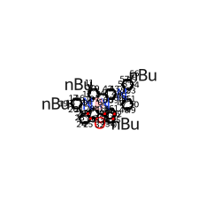 CCCCc1ccc(N2B3c4c(cc(CCCC)cc4N(c4ccc(CCCC)cc4-c4ccccc4)c4ccc5oc6ccccc6c5c43)-c3ccc(N(c4ccccc4)c4ccc(CCCC)cc4)cc32)cc1